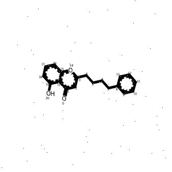 O=c1cc(CCCCc2ccccc2)oc2cccc(O)c12